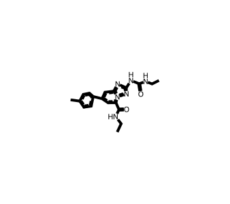 CCNC(=O)Nc1nc2cc(-c3ccc(C)cc3)cc(C(=O)NCC)n2n1